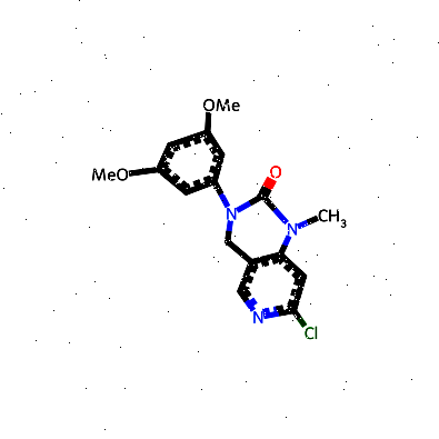 COc1cc(OC)cc(N2Cc3cnc(Cl)cc3N(C)C2=O)c1